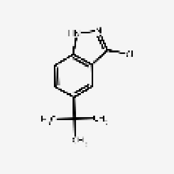 CC(C)(C)c1ccc2[nH]nc(Cl)c2c1